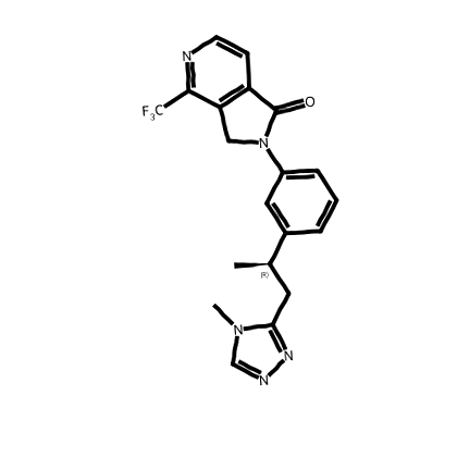 C[C@H](Cc1nncn1C)c1cccc(N2Cc3c(ccnc3C(F)(F)F)C2=O)c1